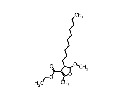 CCCCCCCCCCC1C(C(=O)OCC)=C(C)OC1OC